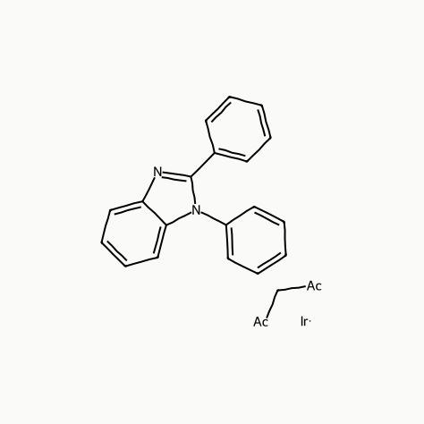 CC(=O)CC(C)=O.[Ir].c1ccc(-c2nc3ccccc3n2-c2ccccc2)cc1